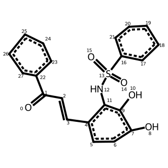 O=C(C=Cc1ccc(O)c(O)c1NS(=O)(=O)c1ccccc1)c1ccccc1